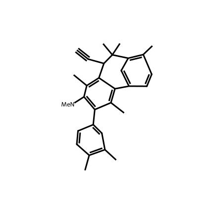 C#CC1c2c(C)c(NC)c(-c3ccc(C)c(C)c3)c(C)c2-c2ccc(C)c(c2)C1(C)C